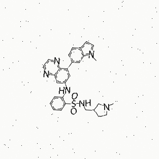 CN1CCC(CNS(=O)(=O)c2ccccc2Nc2cc(-c3ccc4ccn(C)c4c3)c3nccnc3c2)C1